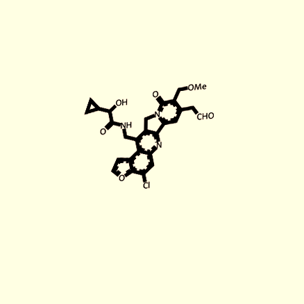 COCc1c(CC=O)cc2n(c1=O)Cc1c-2nc2cc(Cl)c3occc3c2c1CNC(=O)C(O)C1CC1